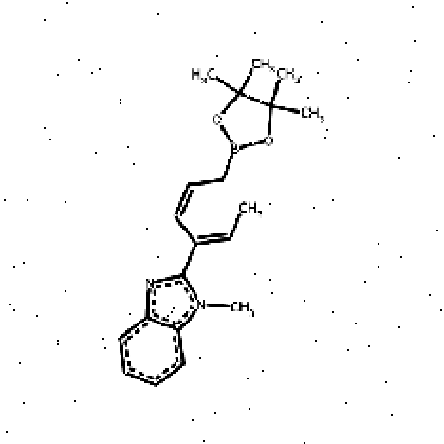 C/C=C(\C=C/CB1OC(C)(C)C(C)(C)O1)c1nc2ccccc2n1C